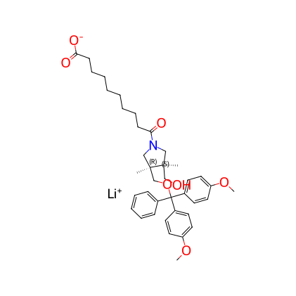 COc1ccc(C(OC[C@@]2(C)CN(C(=O)CCCCCCCCC(=O)[O-])C[C@@]2(C)CO)(c2ccccc2)c2ccc(OC)cc2)cc1.[Li+]